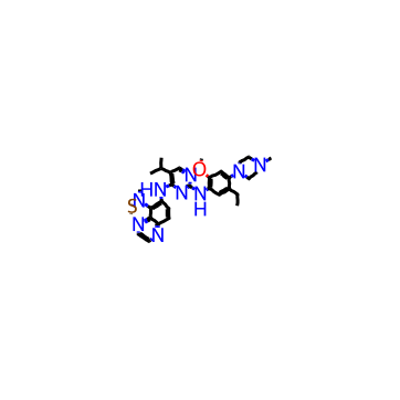 CCc1cc(Nc2ncc(C(C)C)c(Nc3ccc4nccnc4c3N(C)SC)n2)c(OC)cc1N1CCN(C)CC1